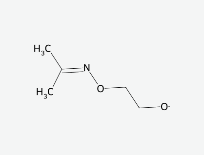 CC(C)=NOCC[O]